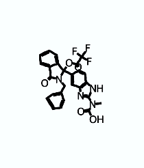 CN(C(=O)O)c1nc2cc(C3(OC(=O)C(F)(F)F)c4ccccc4C(=O)N3Cc3ccccc3)ccc2[nH]1